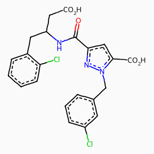 O=C(O)CC(Cc1ccccc1Cl)NC(=O)c1cc(C(=O)O)n(Cc2cccc(Cl)c2)n1